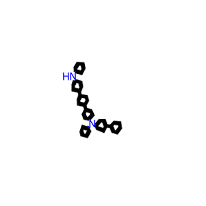 C1=C(c2ccc(Nc3ccccc3)cc2)CCC(c2ccc(N(c3ccccc3)c3ccc(-c4ccccc4)cc3)cc2)=C1